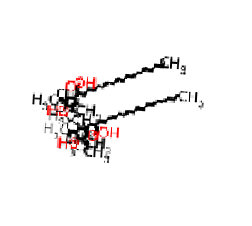 CCCCCCCCCCCCCCCCCCC(C(=O)O)c1cc(C(C)(C)C)c(O)c(C(C)(C)C)c1.CCCCCCCCCCCCCCCCCCC(Cc1cc(C(C)(C)C)c(O)c(C(C)(C)C)c1)C(=O)O